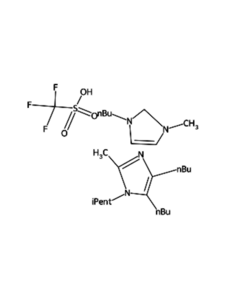 CCCCN1C=CN(C)C1.CCCCc1nc(C)n(C(C)CCC)c1CCCC.O=S(=O)(O)C(F)(F)F